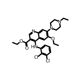 CCOC(=O)c1cnc2cc(N3CCN(CC)CC3)c(OCC)cc2c1Nc1cccc(Cl)c1Cl